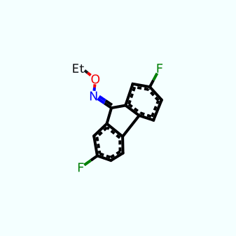 CCON=C1c2cc(F)ccc2-c2ccc(F)cc21